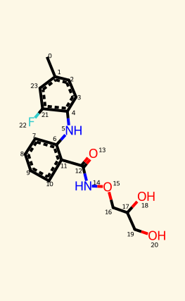 Cc1ccc(Nc2ccccc2C(=O)NOCC(O)CO)c(F)c1